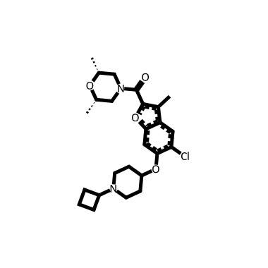 Cc1c(C(=O)N2C[C@@H](C)O[C@@H](C)C2)oc2cc(OC3CCN(C4CCC4)CC3)c(Cl)cc12